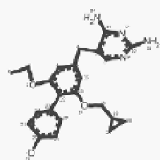 CCOc1cc(Cc2cnc(N)nc2N)cc(OCC2CC2)c1-c1ccc([O])cc1